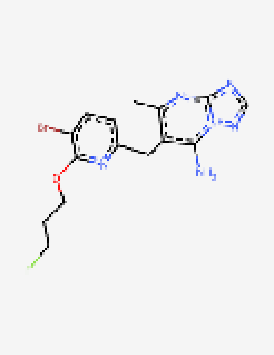 Cc1nc2ncnn2c(N)c1Cc1ccc(Br)c(OCCCF)n1